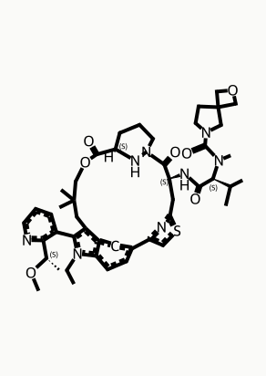 CCn1c(-c2cccnc2[C@H](C)OC)c2c3cc(ccc31)-c1csc(n1)C[C@H](NC(=O)[C@H](C(C)C)N(C)C(=O)N1CCC3(COC3)C1)C(=O)N1CCC[C@H](N1)C(=O)OCC(C)(C)C2